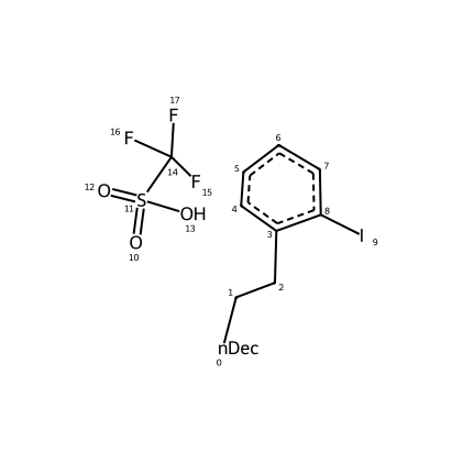 CCCCCCCCCCCCc1ccccc1I.O=S(=O)(O)C(F)(F)F